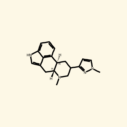 CN1CC(c2ccn(C)n2)C[C@@H]2c3cccc4[nH]cc(c34)C[C@H]21